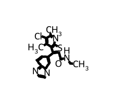 CCNC(=O)c1sc2nc(C)c(Cl)c(C)c2c1-c1ccc2nccnc2c1